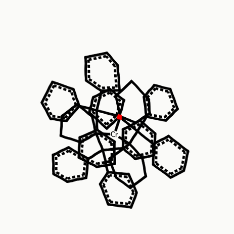 c1ccc(C(c2ccccc2)(c2ccccc2)[C]2([Cr]([C]3(C(c4ccccc4)(c4ccccc4)c4ccccc4)CCCCC3)[C]3(C(c4ccccc4)(c4ccccc4)c4ccccc4)CCCCC3)CCCCC2)cc1